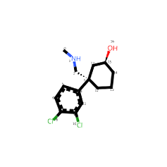 CNC[C@@]1(c2ccc(Cl)c(Cl)c2)CCC[C@H](O)C1